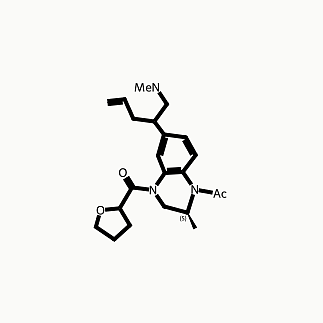 C=CCC(CNC)c1ccc2c(c1)N(C(=O)C1CCCO1)C[C@H](C)N2C(C)=O